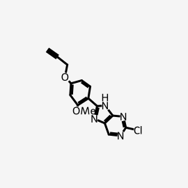 C#CCOc1ccc(-c2nc3cnc(Cl)nc3[nH]2)c(OC)c1